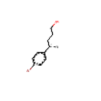 CC[C@@H](CCCO)c1ccc(Br)cc1